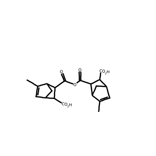 CC1=CC2CC1C(C(=O)OC(=O)C1C3CC(C=C3C)C1C(=O)O)C2C(=O)O